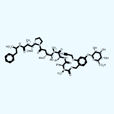 C#CCOc1cc(O[C@@H]2O[C@H](C(=O)O)[C@@H](O)[C@H](O)[C@H]2O)ccc1COC(=O)N(C)[C@H](C(=O)N[C@H](C(=O)N(C)[C@@H](C(C)CC)[C@@H](CC(=O)N1CCC[C@H]1[C@H](OC)[C@@H](C)C(=O)NC(Cc1ccccc1)C(=O)O)OC)C(C)C)C(C)C